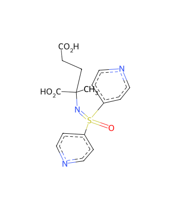 CC(CCC(=O)O)(N=S(=O)(c1ccncc1)c1ccncc1)C(=O)O